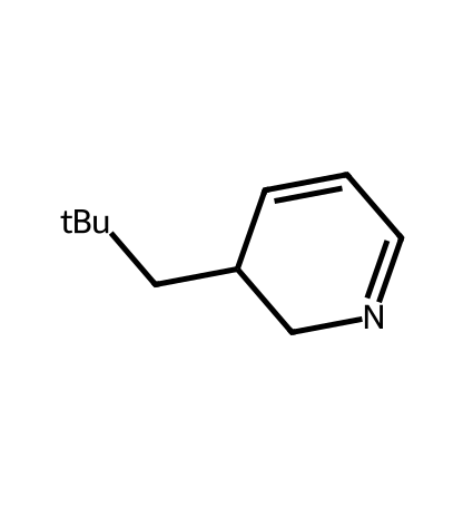 CC(C)(C)CC1C=CC=NC1